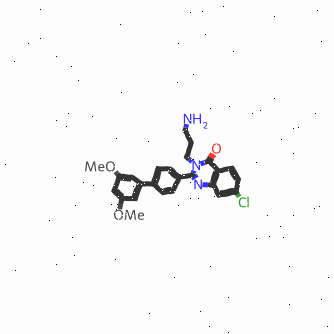 COc1cc(OC)cc(-c2ccc(-c3nc4cc(Cl)ccc4c(=O)n3CCCN)cc2)c1